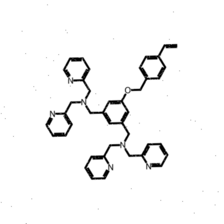 C=Cc1ccc(COc2cc(CN(Cc3ccccn3)Cc3ccccn3)cc(CN(Cc3ccccn3)Cc3ccccn3)c2)cc1